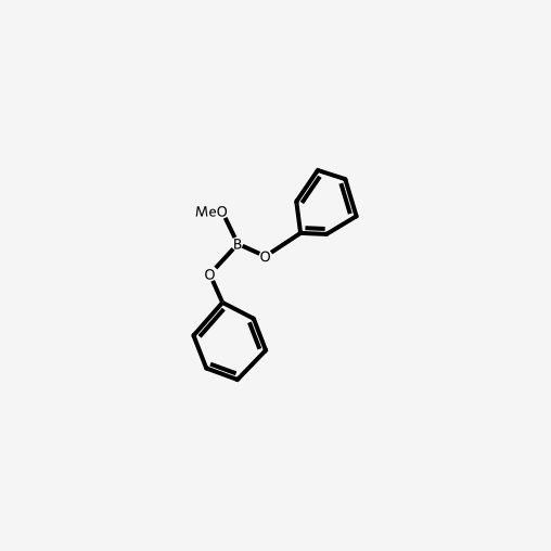 COB(Oc1ccccc1)Oc1ccccc1